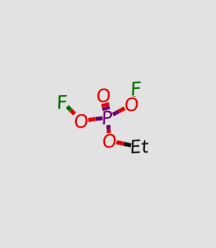 CCOP(=O)(OF)OF